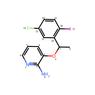 CC(Oc1cccnc1N)c1cc(F)ccc1I